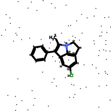 Cc1c(-c2ccccc2)c2cc(Cl)cc3c2n1CC3